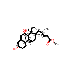 CCCCOC(=O)CC[C@@H](C)[C@H]1CC[C@H]2[C@@H]3[C@H](O)CC4C[C@H](O)CC[C@]4(C)[C@H]3CC[C@]12C